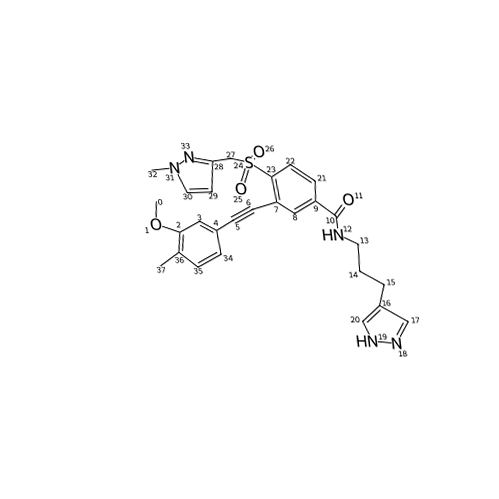 COc1cc(C#Cc2cc(C(=O)NCCCc3cn[nH]c3)ccc2S(=O)(=O)Cc2ccn(C)n2)ccc1C